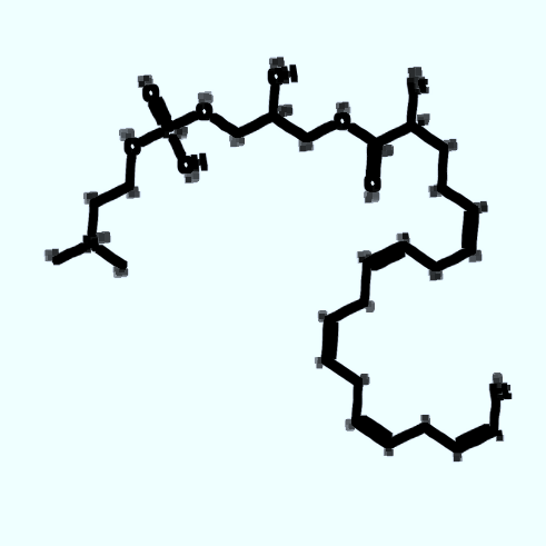 CC/C=C\C/C=C\C/C=C\C/C=C\C/C=C\CCC(CC)C(=O)OCC(O)COP(=O)(O)OCCN(C)C